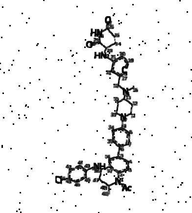 CC(=O)N1c2ccc(-c3ccc(N4CCC(N(C)Cc5cccc(NC6CCC(=O)NC6=O)c5)CC4)cc3)cc2C(Nc2ccc(Cl)cc2)CC1C